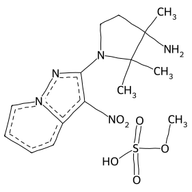 CC1(N)CCN(c2nn3ccccc3c2[N+](=O)[O-])C1(C)C.COS(=O)(=O)O